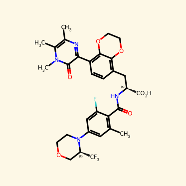 Cc1cc(N2CCOC[C@@H]2C(F)(F)F)cc(F)c1C(=O)N[C@@H](Cc1ccc(-c2nc(C)c(C)n(C)c2=O)c2c1OCCO2)C(=O)O